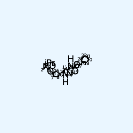 CC(C)N(C)C(=O)O[C@@H]1CC[C@H](c2cc(NC(=O)OCc3ccccc3)n[nH]2)C1